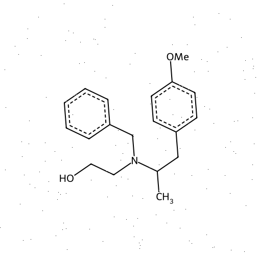 COc1ccc(CC(C)N(CCO)Cc2ccccc2)cc1